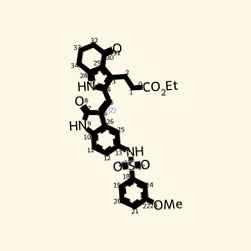 CCOC(=O)CCc1c(/C=C2\C(=O)Nc3ccc(NS(=O)(=O)c4cccc(OC)c4)cc32)[nH]c2c1C(=O)CCC2